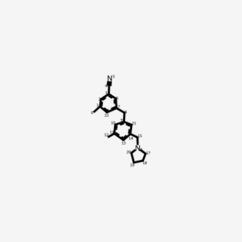 Cc1cc(C#N)cc(Cc2cc(C)cc(CN3CCCC3)c2)c1